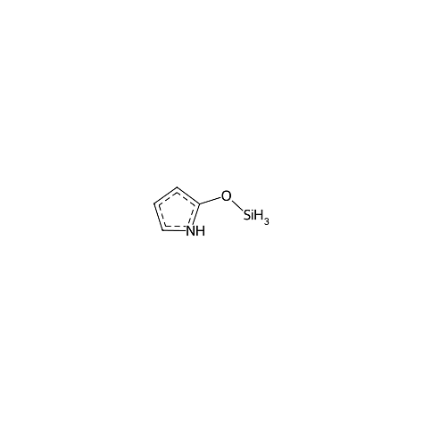 [SiH3]Oc1ccc[nH]1